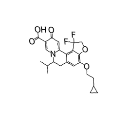 CC(C)C1Cc2cc(OCCC3CC3)c3c(c2-c2cc(=O)c(C(=O)O)cn21)C(F)(F)CO3